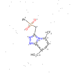 CC(C)S(=O)(=O)Cc1nnc2c(C(=O)O)ccc(C(F)(F)F)n12